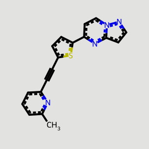 Cc1cccc(C#Cc2ccc(-c3ccn4nccc4n3)s2)n1